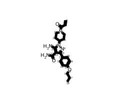 C=CC(=O)N1CCC(n2nc(-c3ccc(OCCC)cc3)c(C(N)=O)c2N)CC1